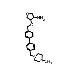 CN1CCN(Cc2ccc(-c3ccc(COC4COCC4N)cc3)cc2)CC1